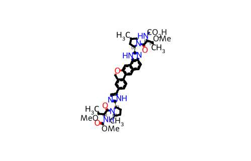 COC(=O)N[C@H](C(=O)N1[C@@H](C)CC[C@H]1c1ncc(-c2ccc3c(c2)COc2cc4c(ccc5nc([C@@H]6CC(C)CN6C(=O)[C@@H](NC(=O)O)[C@@H](C)OC)[nH]c54)cc2-3)[nH]1)C(C)OC